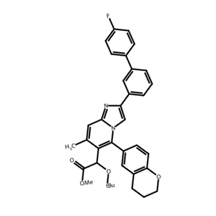 COC(=O)C(OC(C)(C)C)c1c(C)cc2nc(-c3cccc(-c4ccc(F)cc4)c3)cn2c1-c1ccc2c(c1)CCCO2